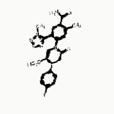 Cc1cc(N2C=C(C(=O)O)[C@H](c3ccc(F)cc3)CC2=O)c(-c2nnnn2C)cc1C(N)=O